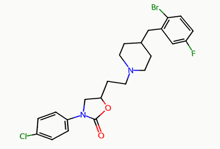 O=C1OC(CCN2CCC(Cc3cc(F)ccc3Br)CC2)CN1c1ccc(Cl)cc1